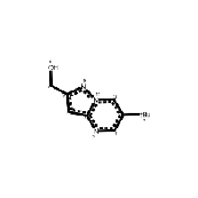 CC(C)(C)c1cnc2cc(CO)nn2c1